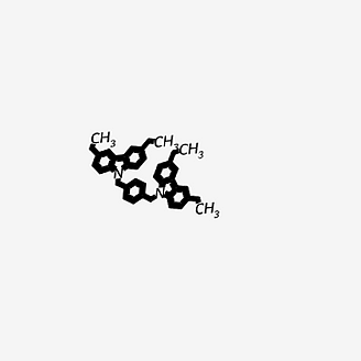 CCc1ccc2c(c1)c1cc(CC)ccc1n2Cc1ccc(Cn2c3ccc(CC)cc3c3cc(CC)ccc32)cc1